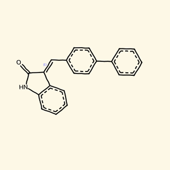 O=C1Nc2ccccc2/C1=C\c1ccc(-c2ccccc2)cc1